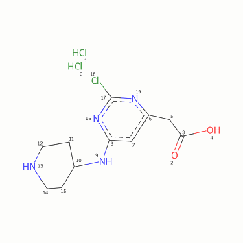 Cl.Cl.O=C(O)Cc1cc(NC2CCNCC2)nc(Cl)n1